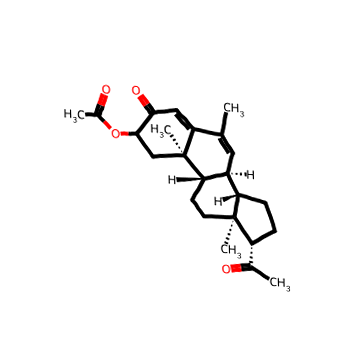 CC(=O)OC1C[C@@]2(C)C(=CC1=O)C(C)=C[C@H]1[C@@H]3CC[C@H](C(C)=O)[C@@]3(C)CC[C@@H]12